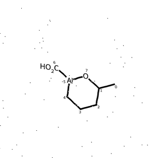 CC1CC[CH2][Al]([C](=O)O)[O]1